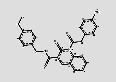 CCc1ccc(CNC(=O)c2cc3ccccc3n(C(=O)Cc3ccc(O)cc3)c2=O)cc1